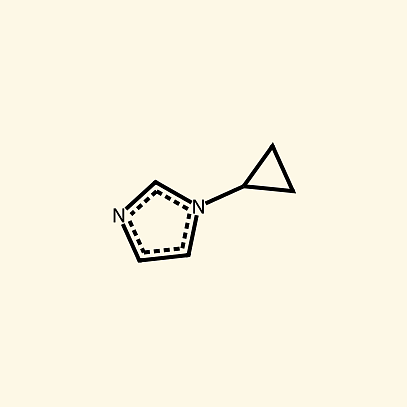 c1cn(C2CC2)cn1